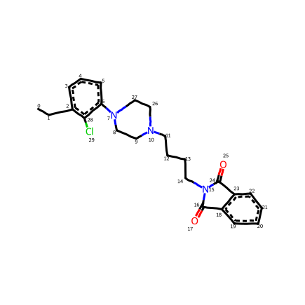 CCc1cccc(N2CCN(CCCCN3C(=O)c4ccccc4C3=O)CC2)c1Cl